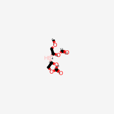 COCC(BC1COC(=O)O1)OC=O